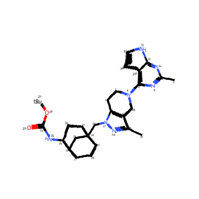 Cc1nc(N2CCc3c(c(C)nn3CC34CCCC(C3)C(NC(=O)OC(C)(C)C)CC4)C2)c2cc[nH]c2n1